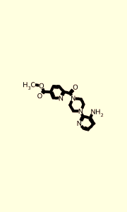 COC(=O)c1ccc(C(=O)N2CCN(c3ncccc3N)CC2)nc1